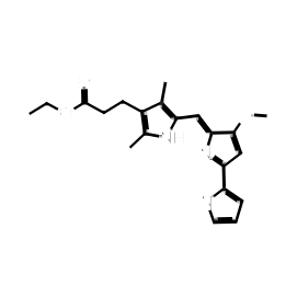 CCOC(=O)CCc1c(C)[nH]c(/C=C2\N=C(c3ccc[nH]3)C=C2OC)c1C